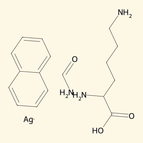 NC=O.NCCCCC(N)C(=O)O.[Ag].c1ccc2ccccc2c1